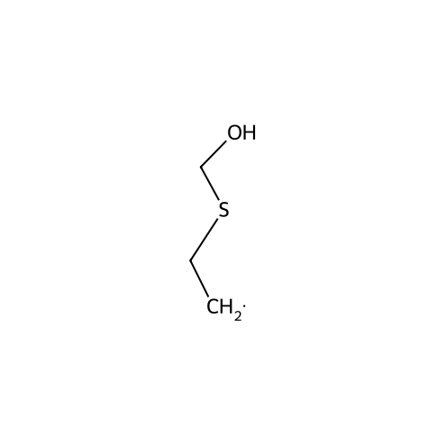 [CH2]CSCO